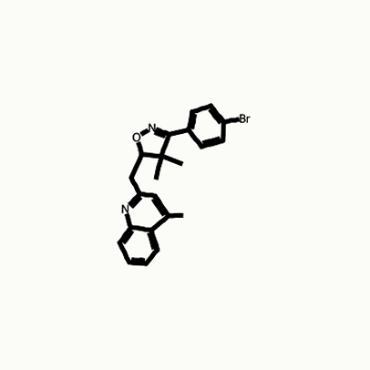 Cc1cc(CC2ON=C(c3ccc(Br)cc3)C2(C)C)nc2ccccc12